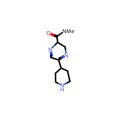 CNC(=O)C1CN=C(C2CCNCC2)C=N1